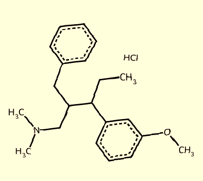 CCC(c1cccc(OC)c1)C(Cc1ccccc1)CN(C)C.Cl